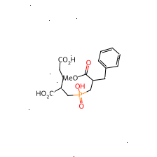 COC(=O)C(Cc1ccccc1)CP(=O)(O)CC(CCC(=O)O)C(=O)O